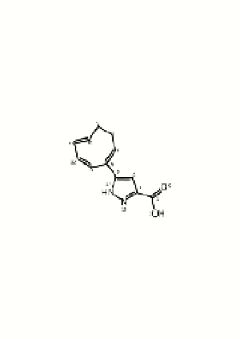 O=C(O)c1cc(C2=C/CC/C=C/C=C\2)[nH]n1